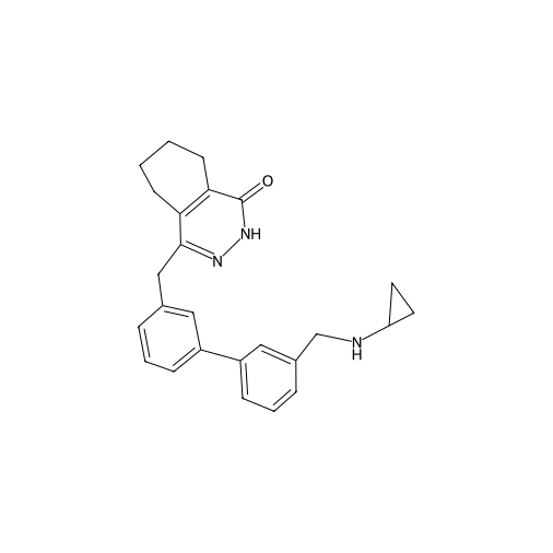 O=c1[nH]nc(Cc2cccc(-c3cccc(CNC4CC4)c3)c2)c2c1CCCC2